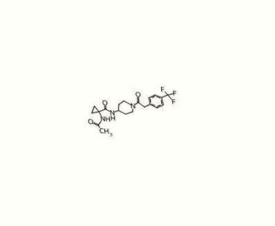 CC(=O)NC1(C(=O)NC2CCN(C(=O)Cc3ccc(C(F)(F)F)cc3)CC2)CC1